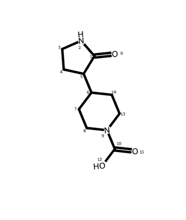 O=C1NCCC1C1CCN(C(=O)O)CC1